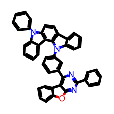 c1ccc(-c2nc(-c3cccc(-n4c5ccccc5c5ccc6c(c7ccccc7n6-c6ccccc6)c54)c3)c3c(n2)oc2ccccc23)cc1